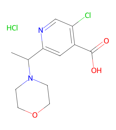 CC(c1cc(C(=O)O)c(Cl)cn1)N1CCOCC1.Cl